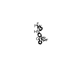 O=C(c1ccccc1NCC(F)F)[N+](=S)[C@H]1CC[C@@H](Nc2cccc3nc(C(F)F)cn23)CC1